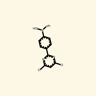 CCCN(O)c1ccc(-c2nc(Cl)cc(Cl)n2)cc1